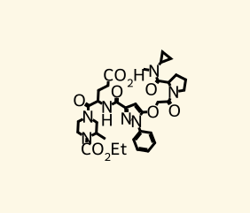 CCOC(=O)N1CCN(C(=O)C(CCC(=O)O)NC(=O)c2cc(OCC(=O)N3CCCC3C(=O)N(C)C3CC3)n(-c3ccccc3)n2)CC1C